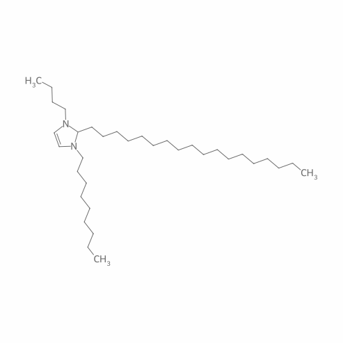 CCCCCCCCCCCCCCCCCCC1N(CCCC)C=CN1CCCCCCCCC